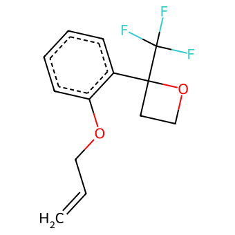 C=CCOc1ccccc1C1(C(F)(F)F)CCO1